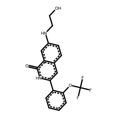 O=c1[nH]c(-c2ccccc2OC(F)(F)F)cc2ccc(NCCO)cc12